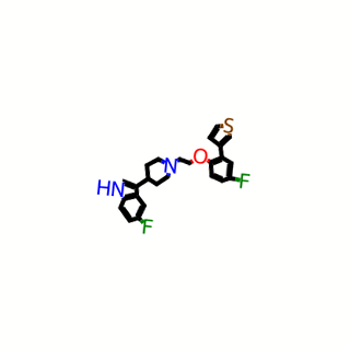 Fc1ccc(OCCN2CCC(c3c[nH]c4ccc(F)cc34)CC2)c(-c2ccsc2)c1